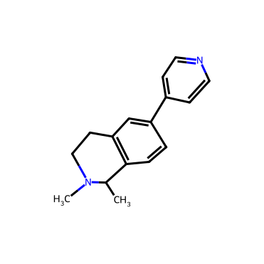 CC1c2ccc(-c3ccncc3)cc2CCN1C